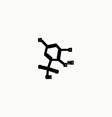 Cl.O=S(=O)(O)c1cc(Cl)cc(Cl)c1Cl